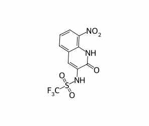 O=c1[nH]c2c([N+](=O)[O-])cccc2cc1NS(=O)(=O)C(F)(F)F